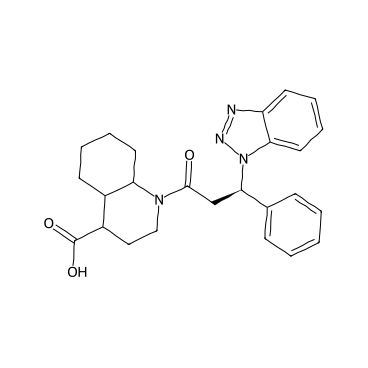 O=C(O)C1CCN(C(=O)C[C@H](c2ccccc2)n2nnc3ccccc32)C2CCCCC12